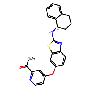 CNC(=O)c1cc(Oc2ccc3nc(N[C@@H]4CCCc5ccccc54)sc3c2)ccn1